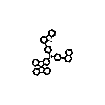 c1ccc2c(c1)-c1ccccc1C21c2ccccc2-c2cc(N(c3ccc(-c4cccc5ccccc45)cc3)c3ccc(-c4cccc5c4oc4ccccc45)cc3)ccc21